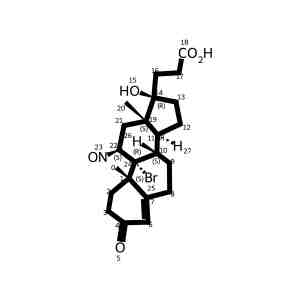 C[C@]12CCC(=O)C=C1CC[C@H]1[C@@H]3CC[C@@](O)(CCC(=O)O)[C@@]3(C)C[C@H](N=O)[C@@]12Br